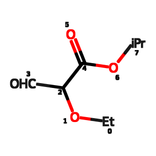 CCOC(C=O)C(=O)OC(C)C